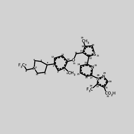 Cc1cc(C2CCN(CC(F)(F)F)CC2)ccc1OCc1c(C)csc1-c1cccc(-n2ncc(C(=O)O)c2C(F)(F)F)n1